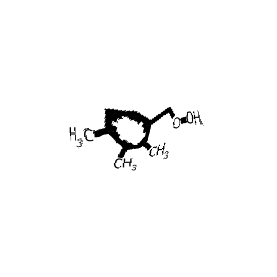 Cc1ccc(COO)c(C)c1C